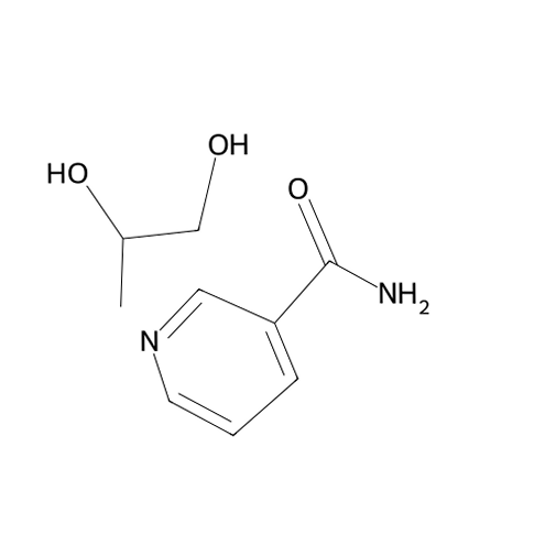 CC(O)CO.NC(=O)c1cccnc1